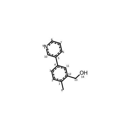 Cc1ccc(-c2cccnc2)cc1CO